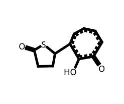 O=C1CCC(c2ccccc(=O)c2O)S1